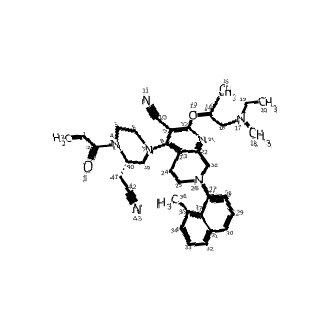 C=CC(=O)N1CCN(c2c(C#N)c(OC(C)CN(C)CC)nc3c2CCN(c2cccc4cccc(C)c24)C3)C[C@@H]1CC#N